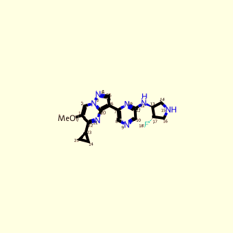 COc1cn2ncc(-c3cncc(N[C@H]4CNC[C@@H]4F)n3)c2nc1C1CC1